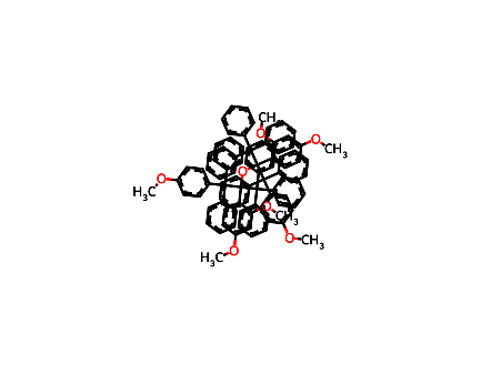 COc1ccc(C(c2ccccc2)(c2ccccc2)C(OC(c2ccc(OC)cc2OC)(C(c2ccccc2)(c2ccccc2)c2ccccc2)C(c2ccccc2)(c2ccccc2)c2ccc(OC)cc2)(c2ccc(OC)cc2OC)C(c2ccccc2)(c2ccccc2)c2ccccc2)cc1